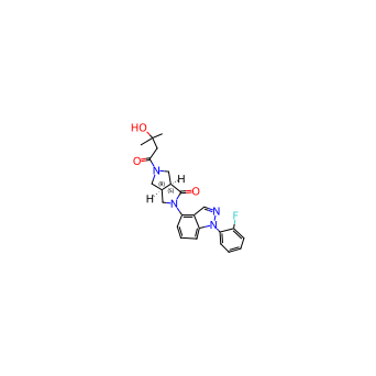 CC(C)(O)CC(=O)N1C[C@@H]2CN(c3cccc4c3cnn4-c3ccccc3F)C(=O)[C@@H]2C1